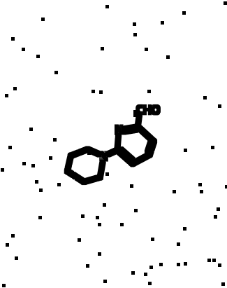 O=Cc1cccc(N2CCCCC2)n1